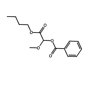 CCCCOC(=O)C(OC)OC(=O)c1ccccc1